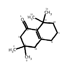 CC1(C)CC(=O)C2=C(CCCC2(C)C)C1